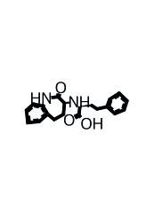 O=C(O)[C@H](CCc1ccccc1)N[C@H]1CCc2ccccc2NC1=O